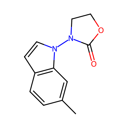 Cc1ccc2ccn(N3CCOC3=O)c2c1